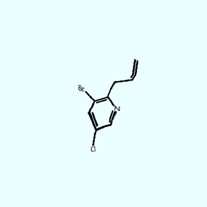 C=CCc1ncc(Cl)cc1Br